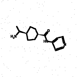 CC(N)[C@H]1CC[C@H](C(=O)Nc2ccncc2)CC1